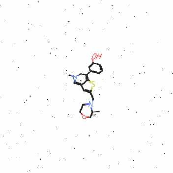 C[C@H]1COCCN1Cc1cc2c(s1)=C(c1cccc(O)c1)CN(C)C=2